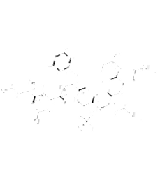 C[C@@H](O)[C@H](NC(=O)[C@H](CCN)NC(=O)[C@H](CCN)NC(=O)[C@H](CC(C)(C)[N+](=O)[O-])NC(=O)[C@@H](Cc1ccccc1)NC(=O)[C@H](CCN)NC(=O)[C@@H](N)CCN)C(=O)O